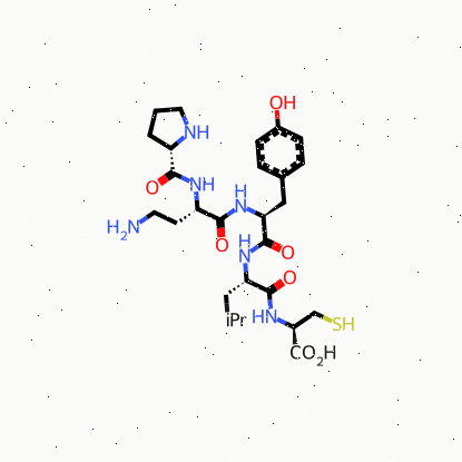 CC(C)C[C@H](NC(=O)[C@H](Cc1ccc(O)cc1)NC(=O)[C@H](CCN)NC(=O)[C@@H]1CCCN1)C(=O)N[C@@H](CS)C(=O)O